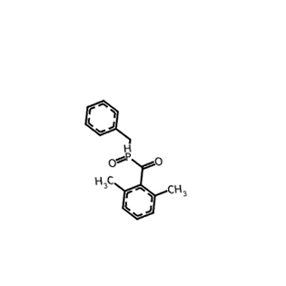 Cc1cccc(C)c1C(=O)[PH](=O)Cc1ccccc1